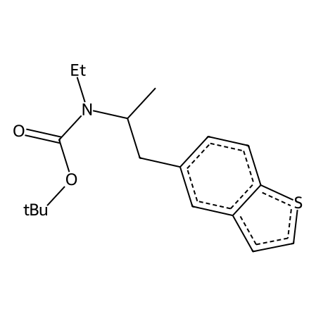 CCN(C(=O)OC(C)(C)C)C(C)Cc1ccc2sccc2c1